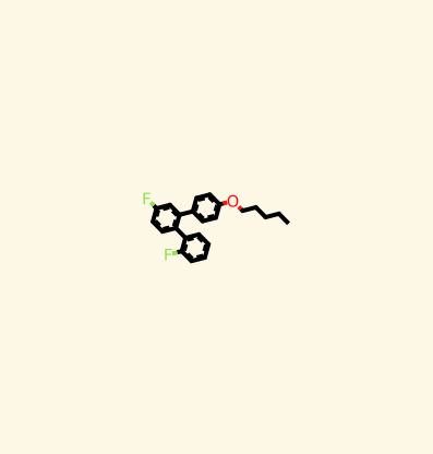 CCCCCOc1ccc(-c2cc(F)ccc2-c2ccccc2F)cc1